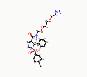 Cc1ccc(S(=O)(=O)N2CC=C(C(=O)NCCOCCOCCN)C2c2ccccc2)cc1